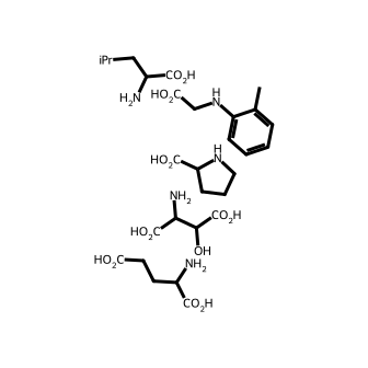 CC(C)CC(N)C(=O)O.Cc1ccccc1NCC(=O)O.NC(C(=O)O)C(O)C(=O)O.NC(CCC(=O)O)C(=O)O.O=C(O)C1CCCN1